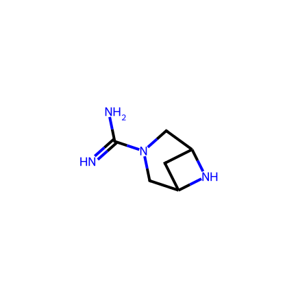 N=C(N)N1CC2CC(C1)N2